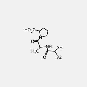 CC(=O)C(S)C(=O)NC(C)C(=O)N1CCCC1C(=O)O